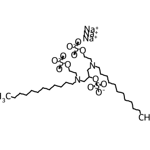 CCCCCCCCCCCCN(CCOS(=O)(=O)[O-])CC(CN(CCCCCCCCCCCC)CCOS(=O)(=O)[O-])OS(=O)(=O)[O-].[Na+].[Na+].[Na+]